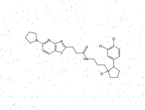 O=C(CCc1nc2nc(N3CCCC3)ccc2s1)NCCC[N+]1([O-])CCCC1c1ccc(Cl)c(Cl)c1